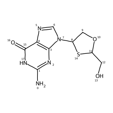 Nc1nc2c(ncn2C2COC(CO)S2)c(=O)[nH]1